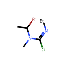 CC/N=C(/Cl)N(C)C(C)Br